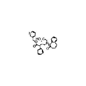 O=C(O)CN(CCC(C(=O)OCc1cccnc1)c1ccccc1)N1C(=O)CCCc2ccccc21